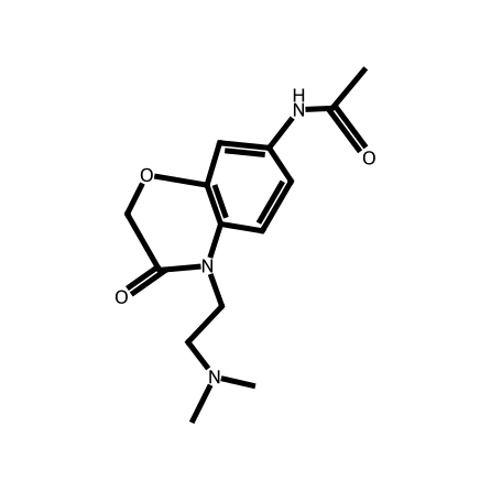 CC(=O)Nc1ccc2c(c1)OCC(=O)N2CCN(C)C